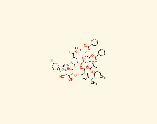 CCCCC(CC)C[C@H](OC1C(OC(=O)c2ccccc2)[C@H](O[C@@H]2CC(C(=O)OC)C[C@@H](n3cc(-c4cccc(F)c4)nn3)C2O[C@@H]2OC(C)[C@@H](O)C(O)C2O)OC(COC(=O)c2ccccc2)[C@@H]1OC(=O)c1ccccc1)C(=O)O